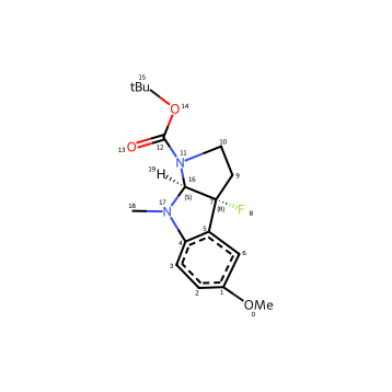 COc1ccc2c(c1)[C@]1(F)CCN(C(=O)OC(C)(C)C)[C@@H]1N2C